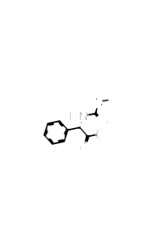 CCNC(=O)N[C@@H](C(=O)CC)c1ccccc1